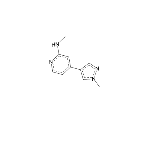 CNc1cc(-c2cnn(C)c2)ccn1